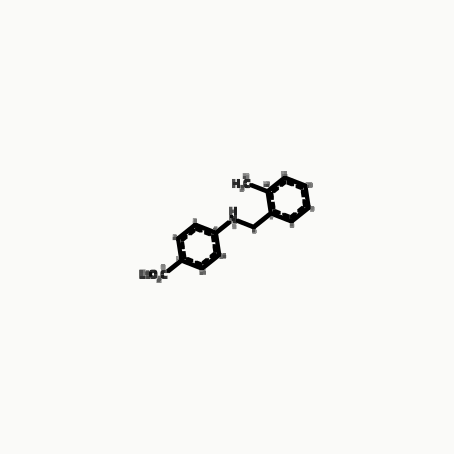 CCOC(=O)c1ccc(NCc2ccccc2C)cc1